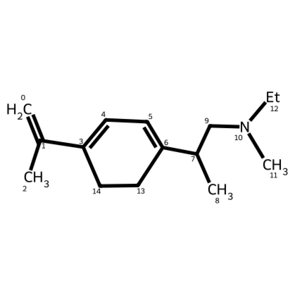 C=C(C)C1=CC=C(C(C)CN(C)CC)CC1